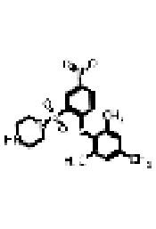 Cc1cc(C)c(Sc2ccc([N+](=O)[O-])cc2S(=O)(=O)N2CCNCC2)c(C)c1